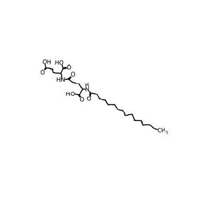 CCCCCCCCCCCCCCCC(=O)NC(CCC(=O)NC(CCC(=O)O)C(=O)O)C(=O)O